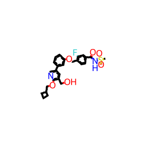 CS(=O)(=O)NC(=O)c1ccc(COc2cccc(-c3cnc(OCC4CCC4)c(CO)c3)c2)c(F)c1